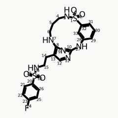 O=S1(=O)NCCCNc2nc(ncc2CCNS(=O)(=O)c2ccc(F)cc2)Nc2cccc1c2